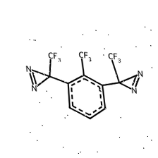 FC(F)(F)c1c(C2(C(F)(F)F)N=N2)cccc1C1(C(F)(F)F)N=N1